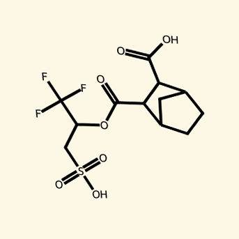 O=C(O)C1C2CCC(C2)C1C(=O)OC(CS(=O)(=O)O)C(F)(F)F